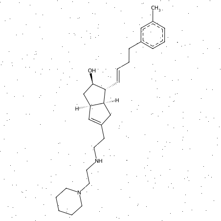 Cc1cccc(CC/C=C/[C@@H]2[C@H]3CC(CCNCCN4CCCCC4)=C[C@H]3C[C@H]2O)c1